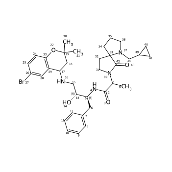 CC(C(=O)N[C@@H](Cc1ccccc1)[C@H](O)CNC1CC(C)(C)Oc2ccc(Br)cc21)N1CCC2(CCCN2CC2CC2)C1=O